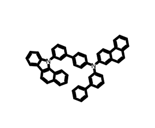 c1ccc(-c2cccc(N(c3ccc(-c4cccc(-n5c6ccccc6c6ccc7ccccc7c65)c4)cc3)c3ccc4c(ccc5ccccc54)c3)c2)cc1